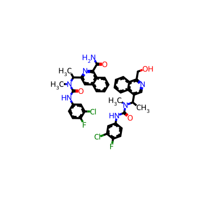 CC(c1cc2ccccc2c(C(N)=O)n1)N(C)C(=O)Nc1ccc(F)c(Cl)c1.CC(c1cnc(CO)c2ccccc12)N(C)C(=O)Nc1ccc(F)c(Cl)c1